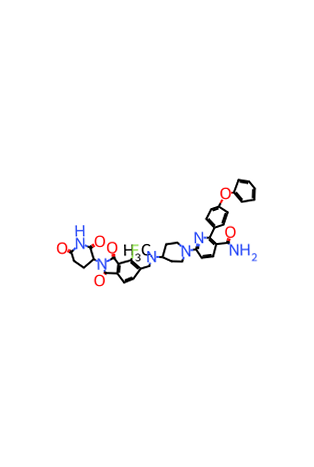 CN(Cc1ccc2c(c1F)C(=O)N(C1CCC(=O)NC1=O)C2=O)C1CCN(c2ccc(C(N)=O)c(-c3ccc(Oc4ccccc4)cc3)n2)CC1